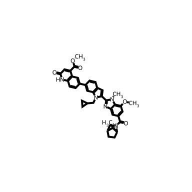 COC(=O)c1cc(=O)[nH]c2ccc(-c3ccc4cc(-c5nc6cc(C(=O)N7CC8CCC7[C@@H]8C)cc(OC)c6n5C)n(CC5CC5)c4c3)cc12